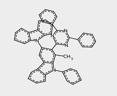 Cc1c(-c2nc(-c3ccccc3)nc(-c3ccccc3)n2)c(-n2c3ccccc3c3ccccc32)cc2c3ccccc3n(-c3ccccc3)c12